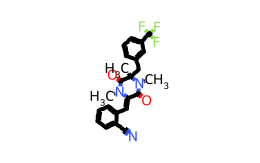 CN1C(=O)C(C)(Cc2cccc(C(F)(F)F)c2)N(C)C(=O)C1=Cc1ccccc1C#N